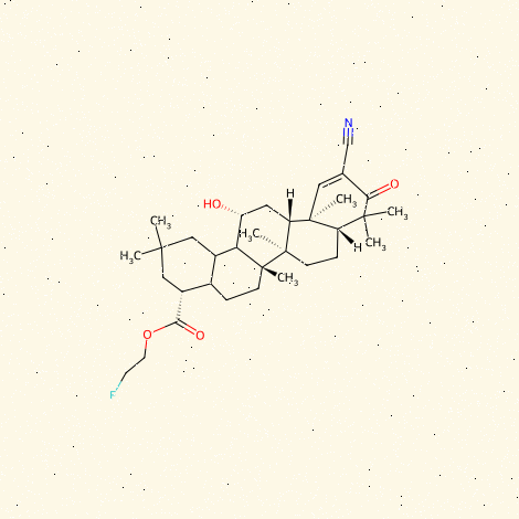 CC1(C)CC2C(CC[C@]3(C)C2[C@H](O)C[C@@H]2[C@@]4(C)C=C(C#N)C(=O)C(C)(C)[C@@H]4CC[C@]23C)[C@H](C(=O)OCCF)C1